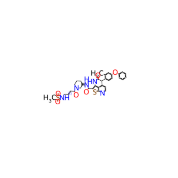 Cc1cc(Oc2ccccc2)ccc1C1C(=O)Nc2c(C(=O)N[C@@H]3CCCN(C(=O)/C=C/CNS(C)(=O)=O)C3)sc3nccc1c23